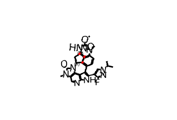 COC(=O)N[C@@H]1CC[C@@H](n2c(=O)n(C)c3cnc4[nH]c(-c5cn(C(C)C)nc5F)c(-c5ccc6c(cnn6C)c5)c4c32)C1